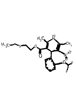 CCSCCOC(=O)C1=C(C)NC(C)=C([N+](=O)[O-])C1c1ccccc1OC(F)F